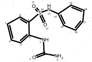 NC(=O)Nc1ccccc1S(=O)(=O)Nc1ccccc1